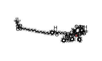 CC(=O)O[C@H]1C(=O)[C@@]2(C)[C@H]([C@H](OC(=O)c3ccccc3)[C@]3(O)C[C@H](OC(=O)[C@H](OC(=O)OCCCCC(=O)Nc4ccc(CCCCCCCCCCCCCCCCCCOP(=O)([O-])OCC[N+](C)(C)C)cc4)[C@@H](NC(=O)c4ccccc4)c4ccccc4)C(C)=C1C3(C)C)[C@]1(OC(C)=O)CO[C@@H]1C[C@@H]2O